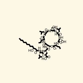 CCCCCCCCC[C@@H](O)CC(=O)N[C@@H](CC(C)C)C(=O)N[C@H](CCC(=O)O)C(=O)N[C@H]1C(=O)N[C@H]([C@H](C)CC)C(=O)N[C@H](CC(C)C)C(=O)N[C@H](CO)C(=O)N[C@@H](CC(C)C)C(=O)N[C@H](CO)C(=O)N[C@@H]([C@@H](C)CC)C(=O)O[C@@H]1C